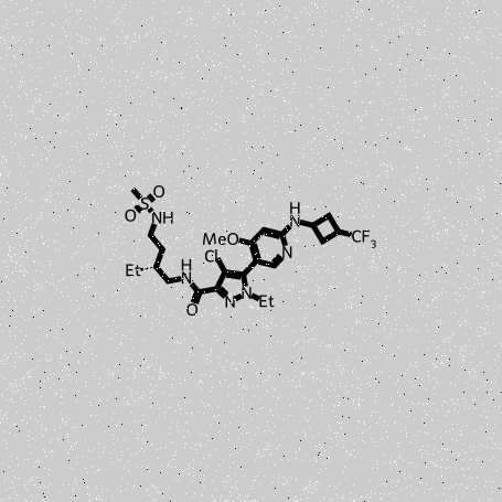 CC[C@H](CCNS(C)(=O)=O)CNC(=O)c1nn(CC)c(-c2cnc(NC3CC(C(F)(F)F)C3)cc2OC)c1Cl